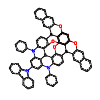 c1ccc(N2c3cc(-n4c5ccccc5c5ccccc54)cc4c3B(c3c2ccc2c3Oc3cccc5c3B2c2cc3ccccc3cc2O5)c2c(ccc3c2Oc2cccc5c2B3c2cc3ccccc3cc2O5)N4c2ccccc2)cc1